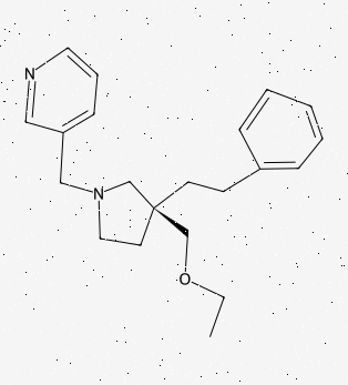 CCOC[C@@]1(CCc2ccccc2)CCN(Cc2cccnc2)C1